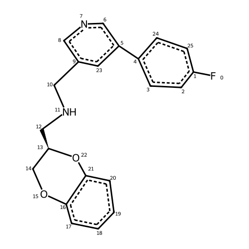 Fc1ccc(-c2cncc(CNC[C@@H]3COc4ccccc4O3)c2)cc1